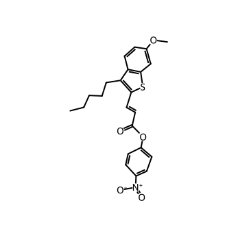 CCCCCc1c(C=CC(=O)Oc2ccc([N+](=O)[O-])cc2)sc2cc(OC)ccc12